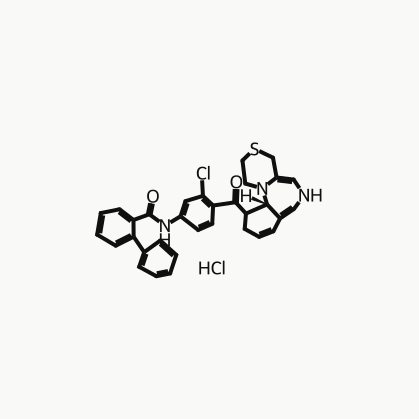 Cl.O=C(Nc1ccc(C(=O)C2CC=CC3=CNC=C4CSCCN4[C@H]32)c(Cl)c1)c1ccccc1-c1ccccc1